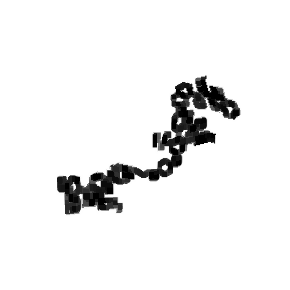 Cn1nc(C2CCC(=O)NC2=O)c2ccc(N3CCN(CCCOC4CCC(Oc5ccc(-c6ccc(N7CCc8cccc(C(=O)Nc9nc%10ccccc%10s9)c8C7)nc6C(=O)OC(C)(C)C)c(C(F)(F)F)c5)CC4)CC3)nc21